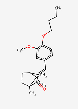 CCCCOc1ccc(C=C2C(=O)C3(C)CCC2C3(C)C)cc1OC